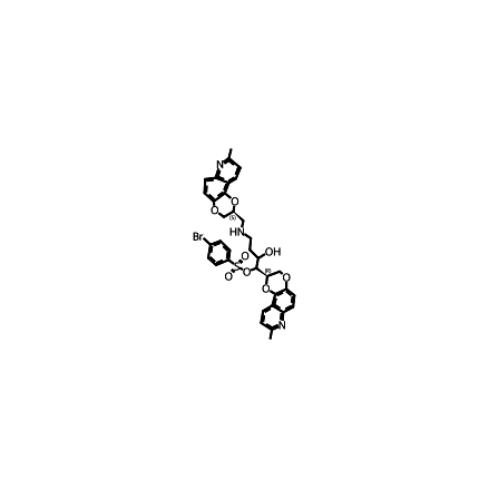 Cc1ccc2c3c(ccc2n1)OC[C@H](CNCCC(O)C(OS(=O)(=O)c1ccc(Br)cc1)[C@H]1COc2ccc4nc(C)ccc4c2O1)O3